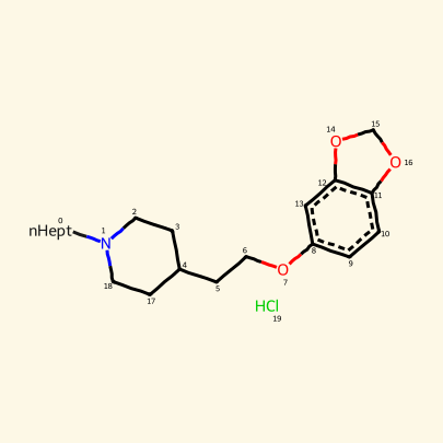 CCCCCCCN1CCC(CCOc2ccc3c(c2)OCO3)CC1.Cl